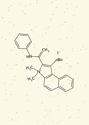 C=C(Nc1ccccc1)C1=C(CCCC)c2c(ccc3ccccc23)[N+]1(C)C.[I-]